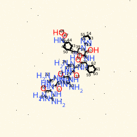 N=C(N)NC(NC(=O)C(NC(=N)N)NC(=O)C(NC(=N)N)NC(=O)C(NC(=N)N)NC(=O)C(NC(=O)C(O)N(C/C=C\c1ccc(NOO)cc1)c1ncccn1)c1ccccc1)C(N)=O